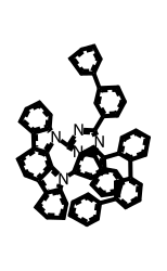 c1ccc(-c2cccc(-c3nc(-c4ccccc4)nc(-n4c5ccccc5c5ccc6c7ccccc7n(-c7ccc(-c8ccccc8-c8cccc(-c9ccccc9)c8)cc7)c6c54)n3)c2)cc1